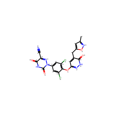 Cc1cc(Cc2cc(Oc3c(Cl)cc(-n4nc(C#N)c(=O)[nH]c4=O)cc3Cl)n[nH]c2=O)on1